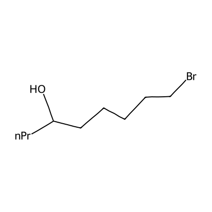 CCCC(O)CCCCCBr